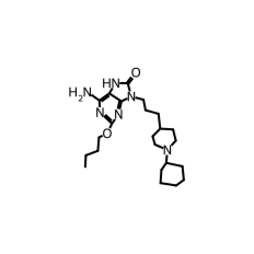 CCCCOc1nc(N)c2[nH]c(=O)n(CCCC3CCN(C4CCCCC4)CC3)c2n1